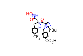 CCCCc1ncc(C(=O)N[C@@H](CC(=O)NO)Cc2ccc(C(F)(F)F)cc2)n1Cc1ccc(C(=O)O)cc1